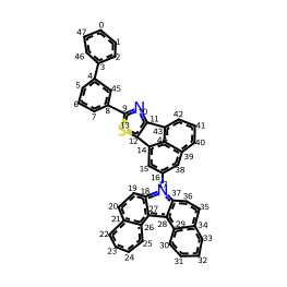 c1ccc(-c2cccc(-c3nc4c(s3)-c3cc(-n5c6ccc7ccccc7c6c6c7ccccc7ccc65)cc5cccc-4c35)c2)cc1